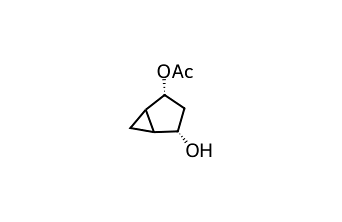 CC(=O)O[C@@H]1C[C@H](O)C2CC21